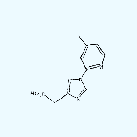 Cc1ccnc(-n2cnc(CC(=O)O)c2)c1